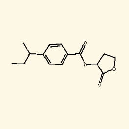 CCC(C)c1ccc(C(=O)OC2CCOC2=O)cc1